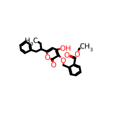 CCOC(=O)c1ccccc1COc1c(O)cc(C(CC)Cc2ccccc2)oc1=O